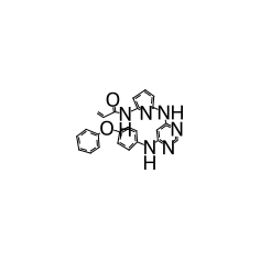 C=CC(=O)Nc1cccc(Nc2cc(Nc3ccc(Oc4ccccc4)cc3)ncn2)n1